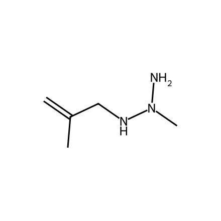 C=C(C)CNN(C)N